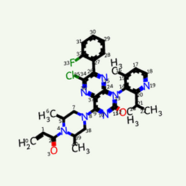 C=CC(=O)N1C(C)CN(c2nc(=O)n(-c3c(C)ccnc3C(C)C)c3nc(-c4ccccc4F)c(Cl)nc23)CC1C